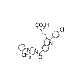 Cc1ccccc1N1CCN(C(=O)c2ccc3nc(-c4ccc(Cl)cc4)c(CCCCC(=O)O)cc3c2)CC1